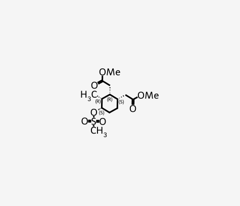 COC(=O)C[C@@H]1CC[C@H](OS(C)(=O)=O)[C@H](C)[C@@H]1CC(=O)OC